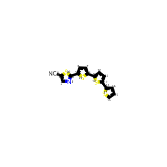 N#Cc1cnc(-c2ccc(-c3ccc(-c4cccs4)s3)s2)s1